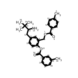 Cc1ccc(C(=O)OCc2cc([CH]C(N)C(C)(C)C)ccc2OC(=O)c2cccc(C)c2)cc1